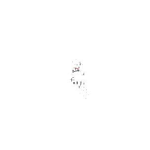 O=C1OC[C@H]2O[C@@H](n3cc4c5c(ncnc53)NCCC4)C[C@@H]2OP(=O)(S)OC[C@H]2O[C@@H](n3cnc4c(=O)n(CCCO)cnc43)[C@H](O1)[C@@H]2O